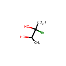 CC(O)C(O)(Br)C(=O)O